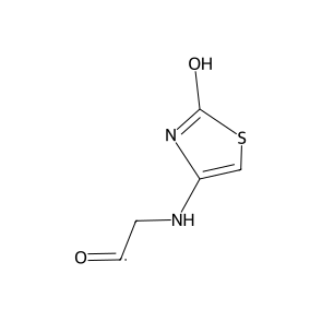 O=[C]CNc1csc(O)n1